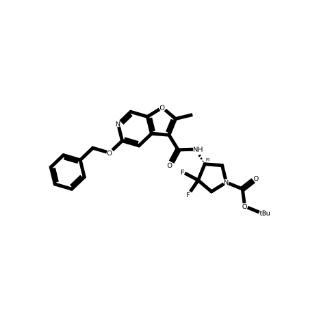 Cc1oc2cnc(OCc3ccccc3)cc2c1C(=O)N[C@@H]1CN(C(=O)OC(C)(C)C)CC1(F)F